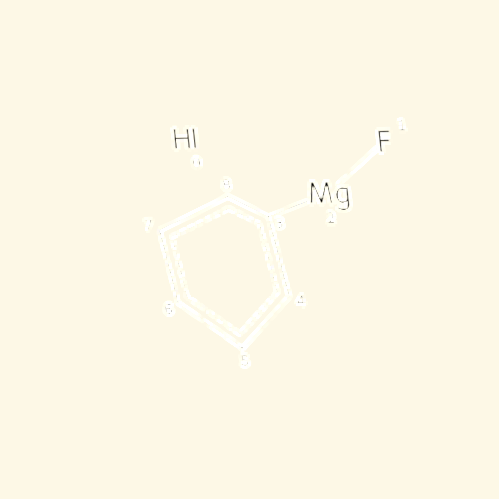 I.[F][Mg][c]1ccccc1